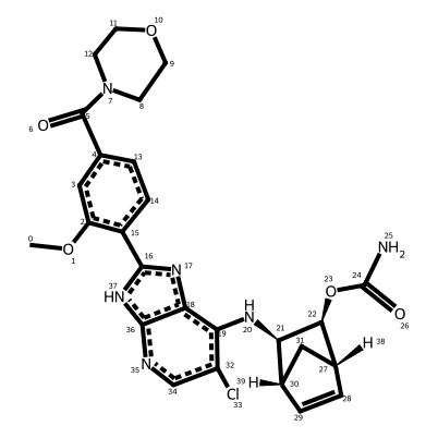 COc1cc(C(=O)N2CCOCC2)ccc1-c1nc2c(N[C@H]3[C@@H](OC(N)=O)[C@@H]4C=C[C@H]3C4)c(Cl)cnc2[nH]1